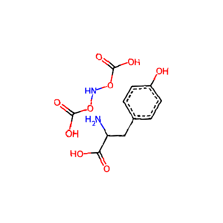 NC(Cc1ccc(O)cc1)C(=O)O.O=C(O)ONOC(=O)O